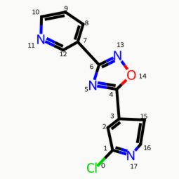 Clc1cc(-c2nc(-c3cccnc3)no2)ccn1